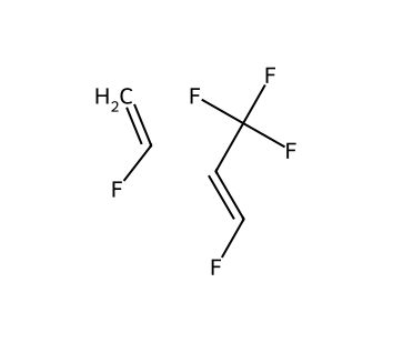 C=CF.FC=CC(F)(F)F